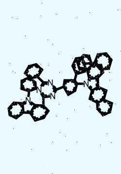 c1ccc(-c2cccc(-c3cc(-c4nc(-c5ccccc5)nc(-c5cccc6c7ccccc7n(-c7ccccc7)c56)n4)ccc3-n3c4cc5ccccc5cc4c4ccc5ccccc5c43)c2)cc1